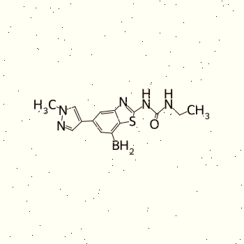 Bc1cc(-c2cnn(C)c2)cc2nc(NC(=O)NCC)sc12